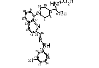 CC(C)(C)C(NC(=O)O)C1CCN(c2cccc3ccc(/C=N/Nc4cc(I)ccn4)nc23)CC1